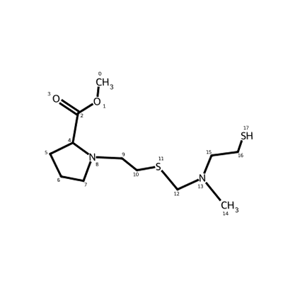 COC(=O)C1CCCN1CCSCN(C)CCS